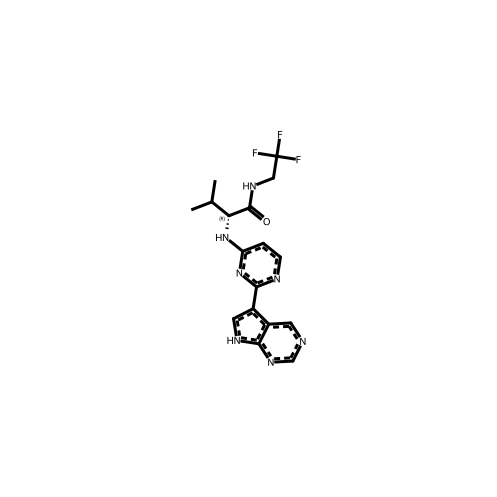 CC(C)[C@@H](Nc1ccnc(-c2c[nH]c3ncncc23)n1)C(=O)NCC(F)(F)F